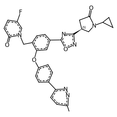 Cc1ccc(-c2ccc(Oc3cc(-c4nc([C@H]5CC(=O)N(C6CC6)C5)no4)ccc3Cn3cc(F)ccc3=O)cc2)nn1